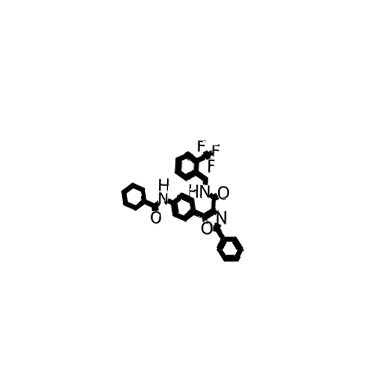 O=C(NCc1ccccc1C(F)(F)F)c1nc(-c2ccccc2)oc1-c1ccc(NC(=O)C2CCCCC2)cc1